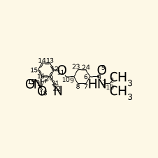 CC(C)NC(=O)C1CCC(COc2cccc([N+](=O)[O-])c2C#N)CC1